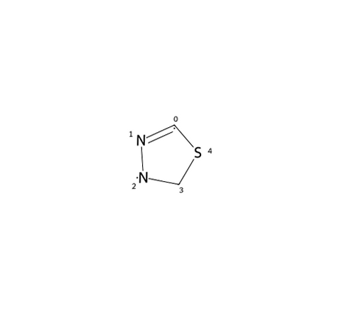 [C]1=N[N]CS1